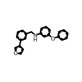 c1ccc(Oc2cccc(NCc3cccc(-c4ccoc4)c3)c2)cc1